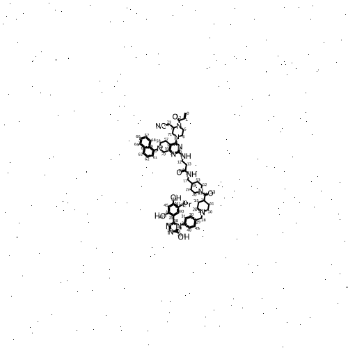 C=CC(=O)N1CCN(c2nc(NCCC(=O)NCC3CCN(C(=O)C4CCN(Cc5ccc(-n6c(O)nnc6-c6cc(C(C)C)c(O)cc6O)cc5)CC4)CC3)nc3c2CCN(c2cccc4ccccc24)C3)CC1CC#N